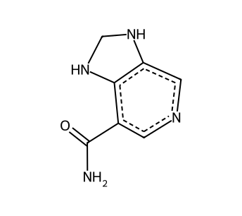 NC(=O)c1cncc2c1NCN2